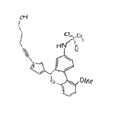 COc1cccc2c1-c1ccc(NS(C)(=O)=O)cc1C(c1ccc(C#CCCCO)s1)O2